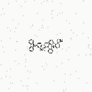 N#Cc1c(-c2ccc(-n3c4ccccc4c4ccccc43)cc2)cccc1-c1ccccc1-n1c2ccccc2c2c(C#N)cccc21